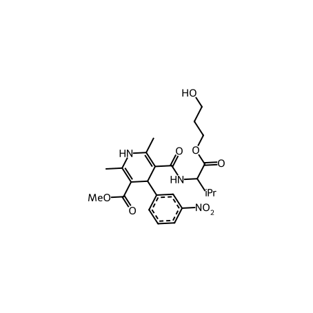 COC(=O)C1=C(C)NC(C)=C(C(=O)NC(C(=O)OCCCO)C(C)C)C1c1cccc([N+](=O)[O-])c1